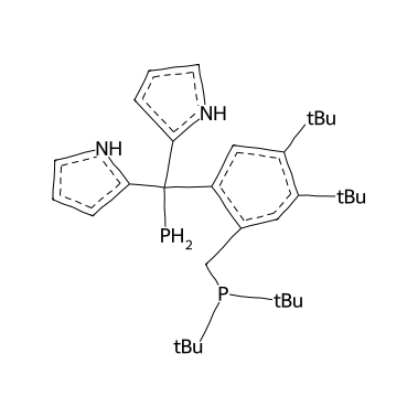 CC(C)(C)c1cc(CP(C(C)(C)C)C(C)(C)C)c(C(P)(c2ccc[nH]2)c2ccc[nH]2)cc1C(C)(C)C